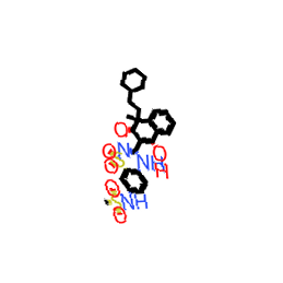 CC1(CCC2CCCCC2)C(=O)C(C2=NS(=O)(=O)c3cc(NS(C)(=O)=O)ccc3N2)=C(O)c2ccccc21